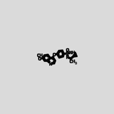 COc1ccc2c(Oc3ccc(S(N)(=O)=NC(C)C4CC4)cc3)ccnc2c1